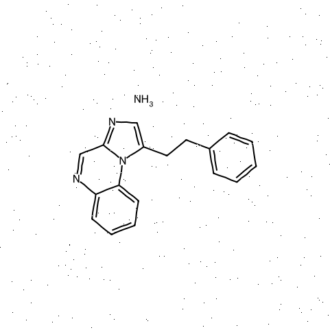 N.c1ccc(CCc2cnc3cnc4ccccc4n23)cc1